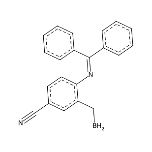 BCc1cc(C#N)ccc1N=C(c1ccccc1)c1ccccc1